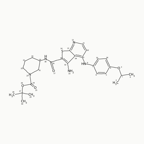 CC(C)Oc1ccc(Nc2ccnc3sc(C(=O)NC4CCCN(C(=O)OC(C)(C)C)C4)c(N)c23)cc1